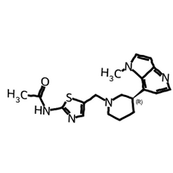 CC(=O)Nc1ncc(CN2CCC[C@H](c3ccnc4ccn(C)c34)C2)s1